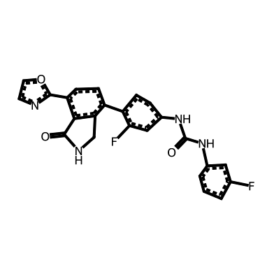 O=C(Nc1cccc(F)c1)Nc1ccc(-c2ccc(-c3ncco3)c3c2CNC3=O)c(F)c1